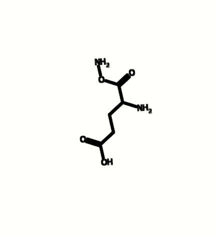 NOC(=O)C(N)CCC(=O)O